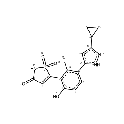 O=C1C=C(c2c(O)ccc(-c3cc(C4CC4)n[nH]3)c2F)S(=O)(=O)N1